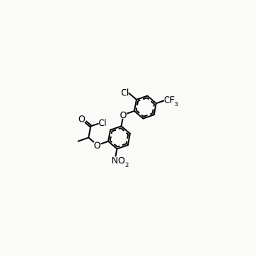 CC(Oc1cc(Oc2ccc(C(F)(F)F)cc2Cl)ccc1[N+](=O)[O-])C(=O)Cl